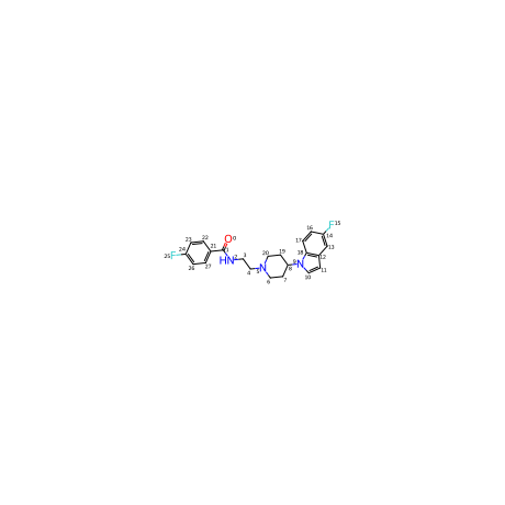 O=C(NCCN1CCC(n2ccc3cc(F)ccc32)CC1)c1ccc(F)cc1